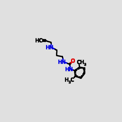 C#CCNCCCNC(=O)Nc1c(C)cccc1C